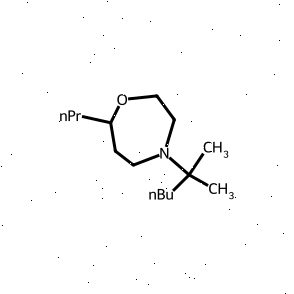 CCCCC(C)(C)N1CCOC(CCC)CC1